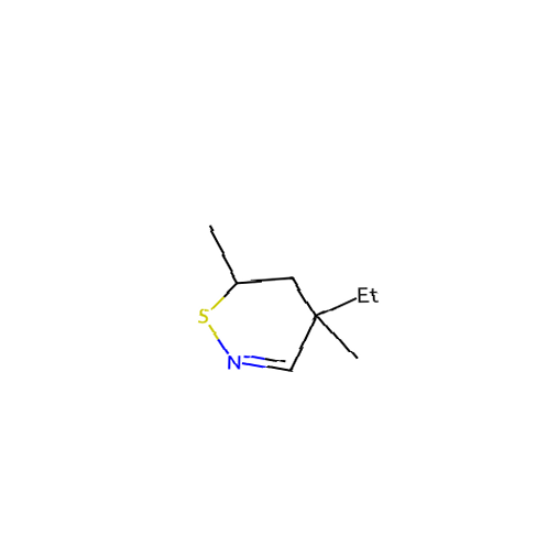 CCC1(C)C=NSC(C)C1